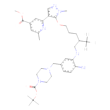 [2H]C([2H])([2H])C(CCCOc1c(-c2cc(C(=O)OC)cc(C)n2)cnn1C)CNc1cc(CN2CCN(C(=O)OC(C)(C)C)CC2)ccc1N